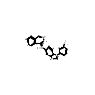 FC(F)(F)c1cccc(-n2cnc3cc(Nc4nncc5ccccc45)ccc32)c1